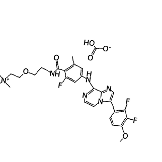 COc1ccc(-c2cnc3c(Nc4cc(C)c(C(=O)NCCOCC[N+](C)(C)C)c(F)c4)nccn23)c(F)c1F.O=C([O-])O